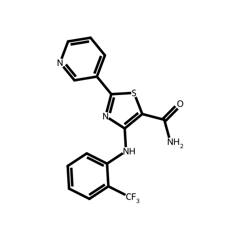 NC(=O)c1sc(-c2cccnc2)nc1Nc1ccccc1C(F)(F)F